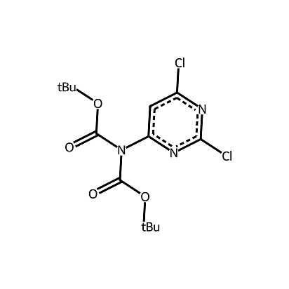 CC(C)(C)OC(=O)N(C(=O)OC(C)(C)C)c1cc(Cl)nc(Cl)n1